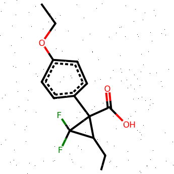 CCOc1ccc(C2(C(=O)O)C(CC)C2(F)F)cc1